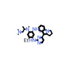 CCc1cc(N(C)C(C)CN(C)C)c(N)cc1Nc1nccc(-c2c3n(c4ccccc24)CCC3)n1